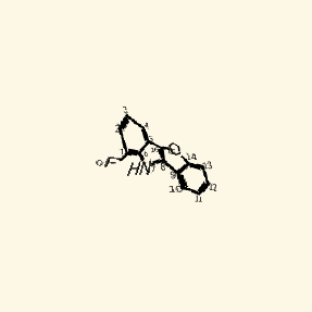 Fc1cccc2c1[nH]c1c3ccccc3oc21